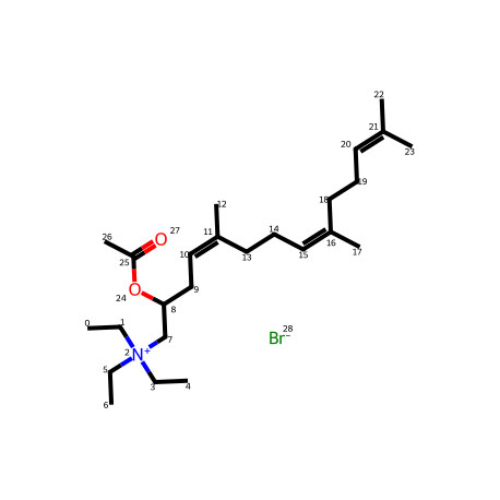 CC[N+](CC)(CC)CC(CC=C(C)CCC=C(C)CCC=C(C)C)OC(C)=O.[Br-]